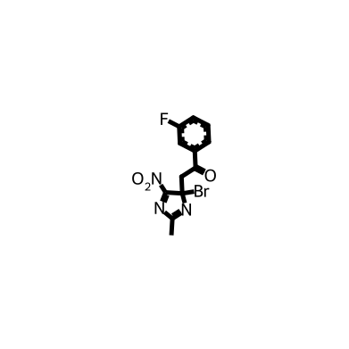 CC1=NC(Br)(CC(=O)c2cccc(F)c2)C([N+](=O)[O-])=N1